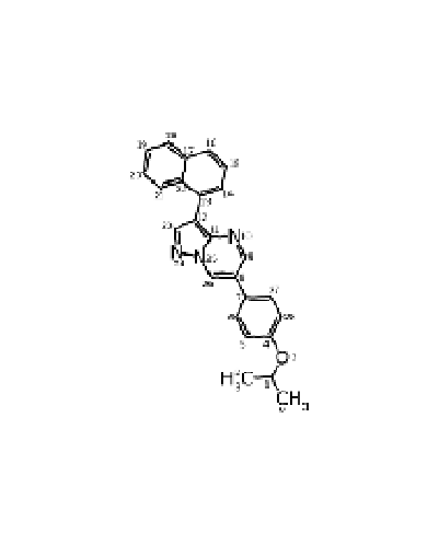 CC(C)Oc1ccc(-c2cnc3c(-c4cccc5ccccc45)cnn3c2)cc1